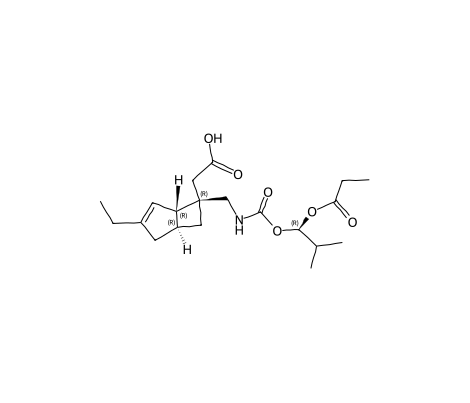 CCC(=O)O[C@H](OC(=O)NC[C@@]1(CC(=O)O)C[C@H]2CC(CC)=C[C@@H]21)C(C)C